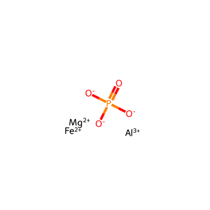 O=P([O-])([O-])[O-].[Al+3].[Fe+2].[Mg+2]